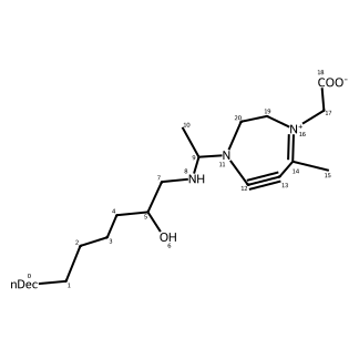 CCCCCCCCCCCCCCC(O)CNC(C)N1C#CC(C)=[N+](CC(=O)[O-])CC1